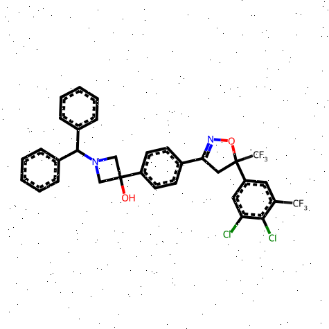 OC1(c2ccc(C3=NOC(c4cc(Cl)c(Cl)c(C(F)(F)F)c4)(C(F)(F)F)C3)cc2)CN(C(c2ccccc2)c2ccccc2)C1